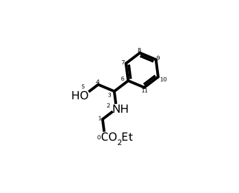 CCOC(=O)CNC(CO)c1ccccc1